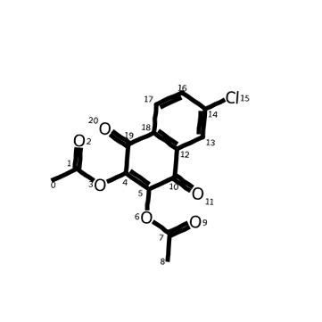 CC(=O)OC1=C(OC(C)=O)C(=O)c2cc(Cl)ccc2C1=O